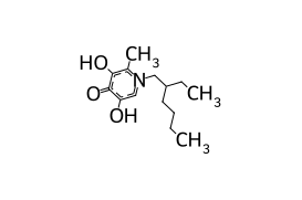 CCCCC(CC)Cn1cc(O)c(=O)c(O)c1C